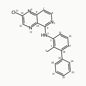 Cc1c(Nc2nccc3nc(Cl)cnc23)cccc1-c1ccccc1